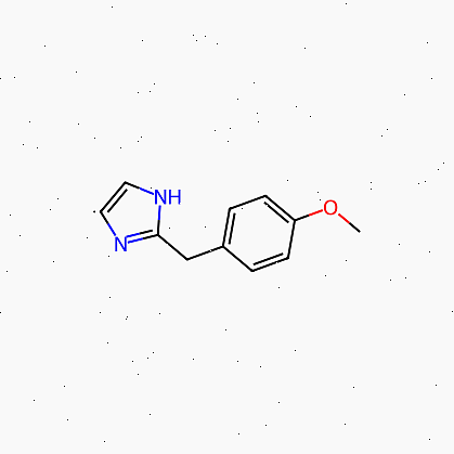 COc1ccc(Cc2n[c]c[nH]2)cc1